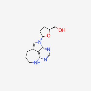 OC[C@@H]1CC[C@H](n2cc3c4c(ncnc42)NCCC3)O1